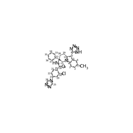 Cc1ccc2c(c1)c(-c1nnn[nH]1)c1n2CC(NC(=O)c2ccc(-n3cnnc3)cc2Cl)(c2ccccc2)CC1